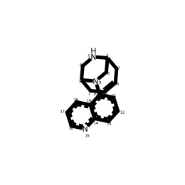 C1=CCC2CNC(C1)CN2c1cccc2ncccc12